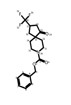 O=C(OCc1ccccc1)N1CCC2(CC1)CC(C(F)(F)F)CC2=O